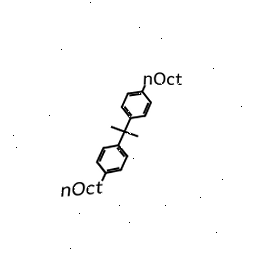 CCCCCCCCc1ccc(C(C)(C)c2ccc(CCCCCCCC)cc2)cc1